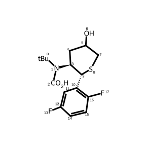 CC(C)(C)N(C(=O)O)[C@H]1CC(O)CS[C@@H]1c1cc(F)ccc1F